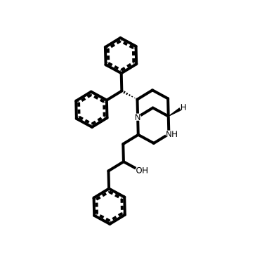 OC(Cc1ccccc1)CC1CN[C@H]2CC[C@@H](C(c3ccccc3)c3ccccc3)N1C2